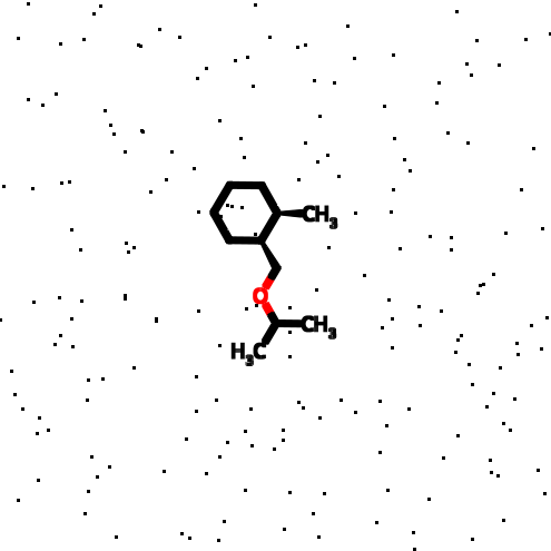 CC(C)OC[C@H]1CCCC[C@H]1C